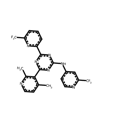 Cc1ccnc(C)c1-c1nc(Nc2ccnc(C(F)(F)F)c2)nc(-c2cccc(C(F)(F)F)n2)n1